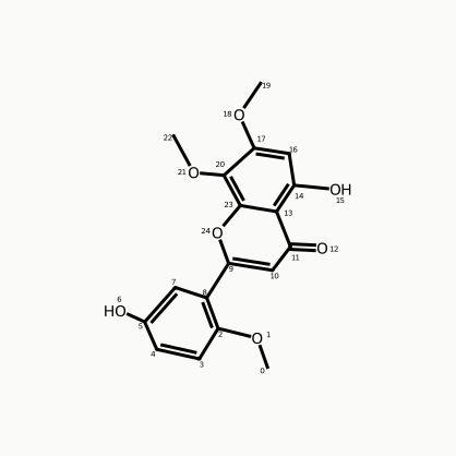 COc1ccc(O)cc1-c1cc(=O)c2c(O)cc(OC)c(OC)c2o1